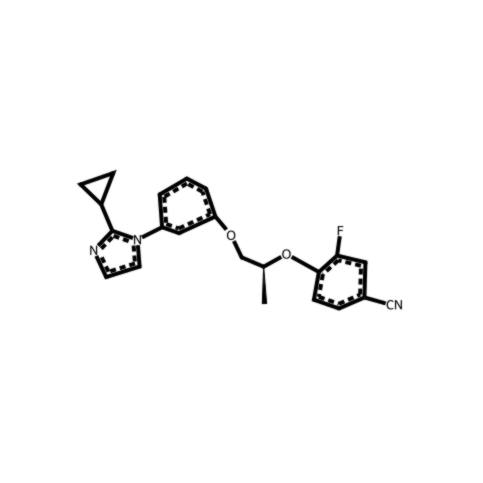 C[C@@H](COc1cccc(-n2ccnc2C2CC2)c1)Oc1ccc(C#N)cc1F